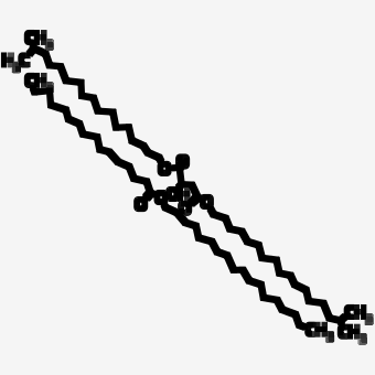 CC(C)CCCCCCCCCCCCCCCOC(=O)CC(O)C(=O)OCCCCCCCCCCCCCCCC(C)C.CCCCCCCCCCCCCCCCCCOC(=O)CCCCCCCCCCCCCCC